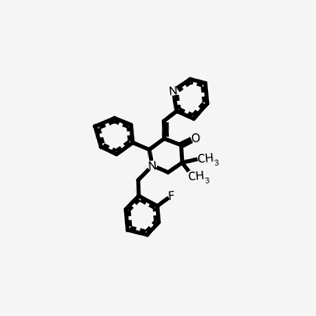 CC1(C)CN(Cc2ccccc2F)C(c2ccccc2)C(=Cc2ccccn2)C1=O